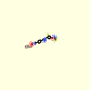 CC(C)(C)OC(=O)N1CC(c2ccc(-c3cn(Cc4ccc(-c5nnc(C(F)F)o5)cc4F)nn3)cc2)C1